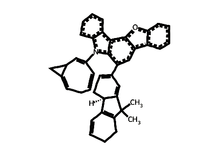 CC1(C)C2=CC(c3cc4c5ccccc5oc4c4c5ccccc5n(C5=C/C6C/C6=C/C/C=C\5)c34)=CC[C@@H]2C2=C1CCC=C2